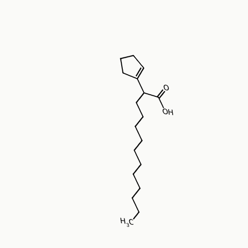 CCCCCCCCCCCC(C(=O)O)C1=CCCC1